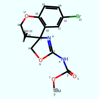 CC(C)(C)OC(=O)NC1=NC2(CO1)c1cc(Br)ccc1OCC21CCC1